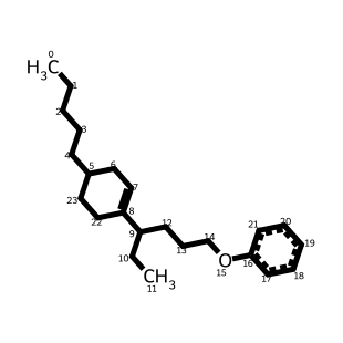 CCCCCC1CC=C(C(CC)CCCOc2ccccc2)CC1